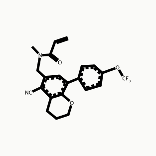 C=CC(=O)N(C)Cc1cc(-c2ccc(OC(F)(F)F)cc2)c2c(c1C#N)CCCO2